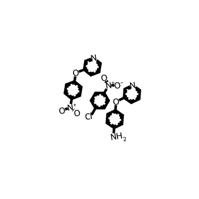 Nc1ccc(Oc2cccnc2)cc1.O=[N+]([O-])c1ccc(Cl)cc1.O=[N+]([O-])c1ccc(Oc2cccnc2)cc1